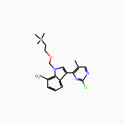 Cc1cnc(Cl)nc1-c1cn(COCC[Si](C)(C)C)c2c([N+](=O)[O-])cccc12